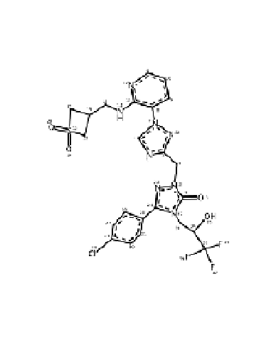 O=c1n(Cc2ncn(-c3cccnc3NCC3CS(=O)(=O)C3)n2)nc(-c2ccc(Cl)cc2)n1CC(O)C(F)(F)F